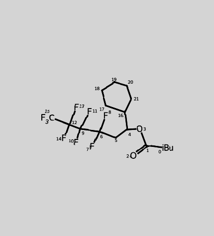 CCC(C)C(=O)OC(CC(F)(F)C(F)(F)C(F)(F)C(F)(F)F)C1CCCCC1